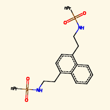 CCCS(=O)(=O)NCCc1ccc(CCNS(=O)(=O)CCC)c2ccccc12